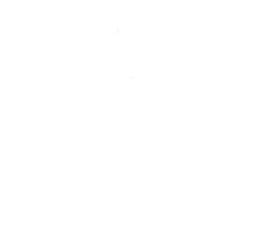 CCC(O)CO.O=C(O)c1ccccc1.c1ccc(OPOc2ccccc2)cc1